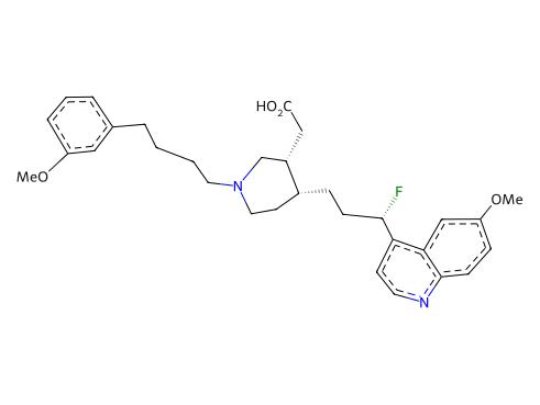 COc1cccc(CCCCN2CC[C@@H](CC[C@H](F)c3ccnc4ccc(OC)cc34)[C@@H](CC(=O)O)C2)c1